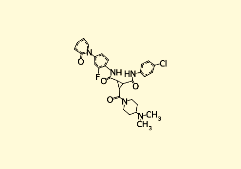 CN(C)C1CCN(C(=O)C2C(C(=O)Nc3ccc(Cl)cc3)C2C(=O)Nc2ccc(-n3ccccc3=O)cc2F)CC1